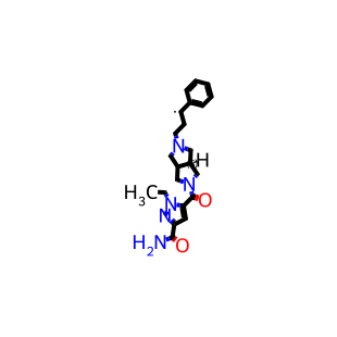 CCn1nc(C(N)=O)cc1C(=O)N1CC2CN(CC[CH]c3ccccc3)C[C@H]2C1